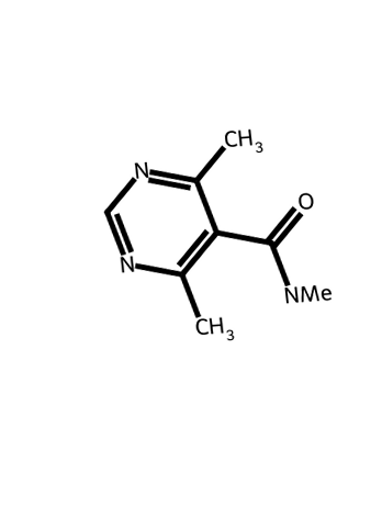 CNC(=O)c1c(C)ncnc1C